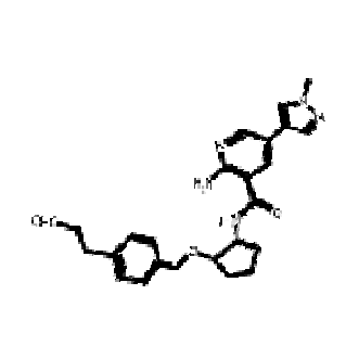 Cn1cc(-c2cnc(N)c(C(=O)N[C@H]3CCCC3OCc3ccc(CCC=O)cc3)c2)cn1